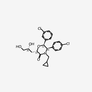 O=C1[C@H](C[C@@H](O)CO)O[C@@H](c2cccc(Cl)c2)[C@@H](c2ccc(Cl)cc2)N1CC1CC1